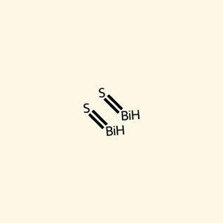 [S]=[BiH].[S]=[BiH]